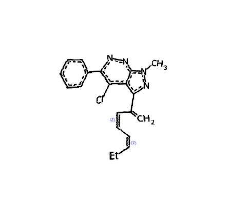 C=C(/C=C\C=C/CC)c1nn(C)c2nnc(-c3ccccc3)c(Cl)c12